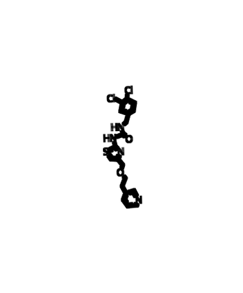 O=C(NCc1ccc(Cl)c(Cl)c1)Nc1nc(COCCc2cccnc2)cs1